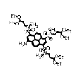 CCOC(CCN(C)S(=O)(=O)c1cc(N)c2ccc3c(S(=O)(=O)N(C)CCC(OCC)OCC)cc(S(=O)(=O)N(C)CCC(OCC)OCC)c4ccc1c2c34)OCC